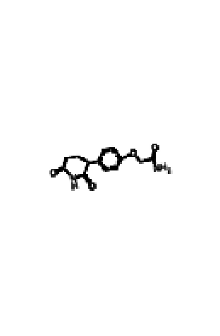 NC(=O)COc1ccc(C2CCC(=O)NC2=O)cc1